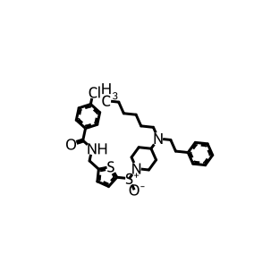 CCCCCCN(CCc1ccccc1)C1CCN([S+]([O-])c2ccc(CNC(=O)c3ccc(Cl)cc3)s2)CC1